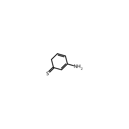 NC1=CC(=S)CC=C1